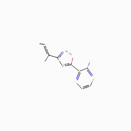 C/C=C(\C)c1cc(-c2nccnc2N)on1